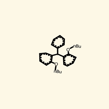 CCCCOc1ccccc1[C](c1ccccc1)c1ccccc1OCCCC